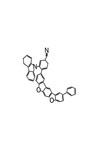 N#CC1C=C(n2c3c(c4ccccc42)CCC=C3)C(c2ccc3oc4cc5oc6ccc(-c7ccccc7)cc6c5cc4c3c2)=CC1